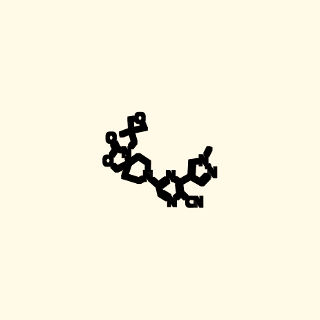 Cn1cc(-c2nc(N3CCC4(CC3)COC(=O)N4CC3(C)COC3)cnc2C#N)cn1